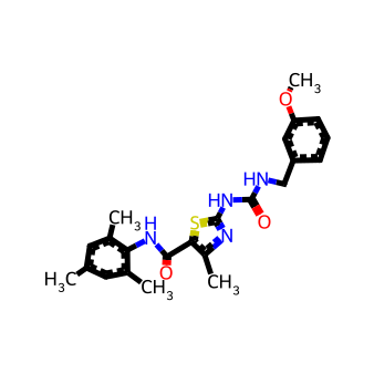 COc1cccc(CNC(=O)Nc2nc(C)c(C(=O)Nc3c(C)cc(C)cc3C)s2)c1